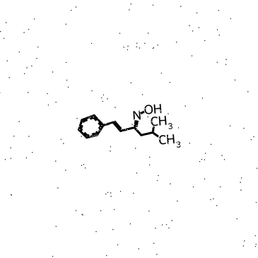 CC(C)CC(/C=C/c1ccccc1)=NO